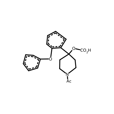 CC(=O)N1CCC(OC(=O)O)(c2ccccc2Oc2ccccc2)CC1